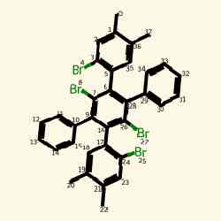 Cc1cc(Br)c(-c2c(Br)c(-c3ccccc3)c(-c3cc(C)c(C)cc3Br)c(Br)c2-c2ccccc2)cc1C